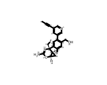 CC#Cc1cncc(-c2cc([C@@]3(CF)N=C(N)O[C@@H]4C[C@@H]43)c(F)cc2CO)c1